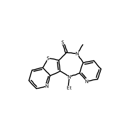 CCN1c2ncccc2N(C)C(=S)c2sc3cccnc3c21